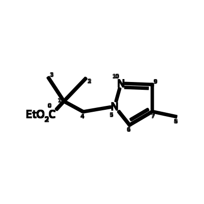 CCOC(=O)C(C)(C)Cn1cc(C)cn1